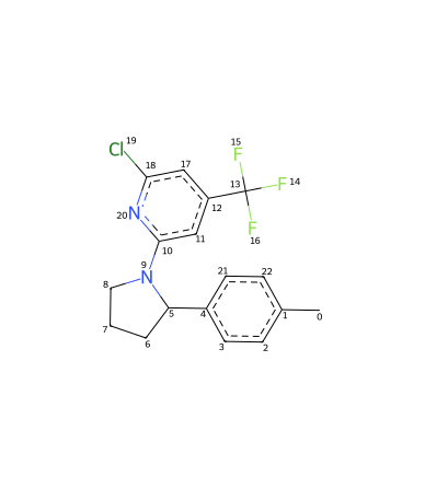 Cc1ccc(C2CCCN2c2cc(C(F)(F)F)cc(Cl)n2)cc1